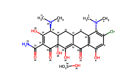 CN(C)c1c(Cl)cc(O)c2c1CC1CC3[C@H](N(C)C)C(O)=C(C(N)=O)C(=O)C3(O)C(O)=C1C2=O.O=S(=O)(O)O